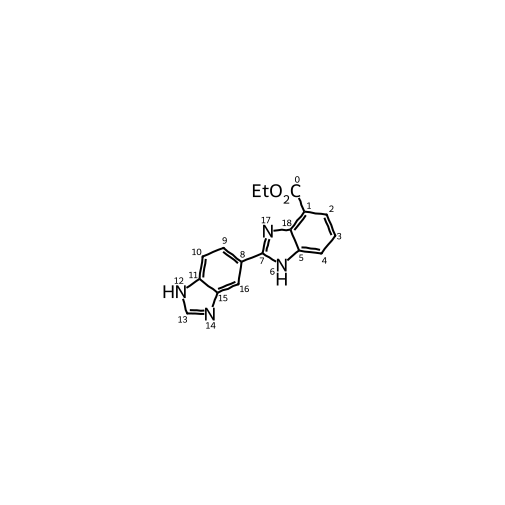 CCOC(=O)c1cccc2[nH]c(-c3ccc4[nH]cnc4c3)nc12